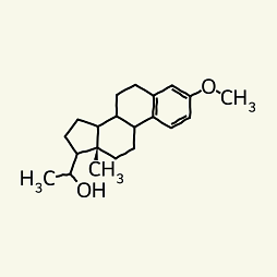 COc1ccc2c(c1)CCC1C2CC[C@]2(C)C(C(C)O)CCC12